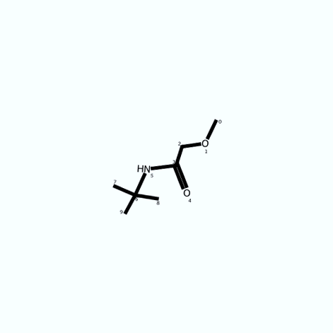 COCC(=O)NC(C)(C)C